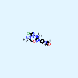 Cc1c2c(nn1C1CCC(N3C[C@@H]4C[C@H]3CO4)CC1)OCCC(C)Nc1nc(ncc1Cl)N2